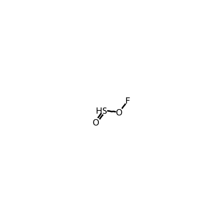 O=[SH]OF